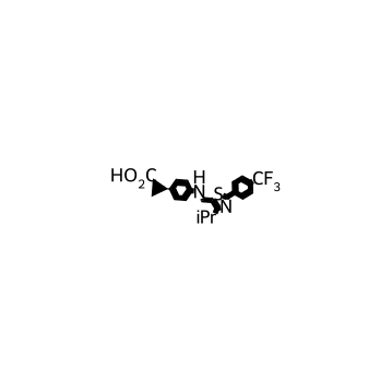 CC(C)c1nc(-c2ccc(C(F)(F)F)cc2)sc1CNc1ccc([C@@H]2C[C@H]2C(=O)O)cc1